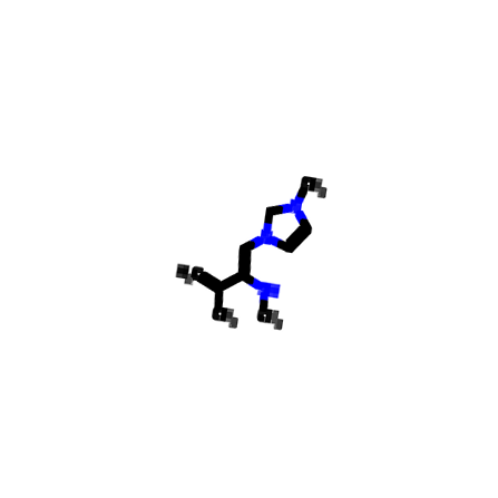 C=C(C)/C(=C/N1C=CN(C)C1)NC